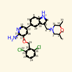 CC1CN(Cc2c[nH]c3ccc(-c4cnc(N)c(OCc5c(Cl)cccc5Cl)c4)cc23)CC(C)O1